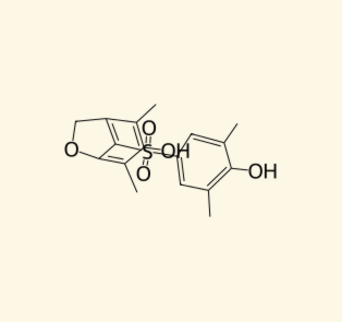 Cc1cc(S(=O)(=O)c2c3c(C)c(O)c(C)c2OC3)cc(C)c1O